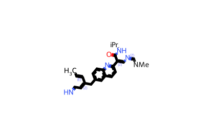 C/C=C/C(=C\C=N)Cc1ccc2nc(/C(=C/N=C\NC)C(=O)NC(C)C)ccc2c1